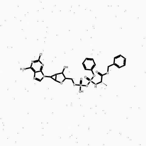 C[C@H](NP(=O)(Oc1ccccc1)OP(=O)(O)OCC1OC2C(C1O)C2n1cnc2c(N)nc(Cl)nc21)C(=O)OCc1ccccc1